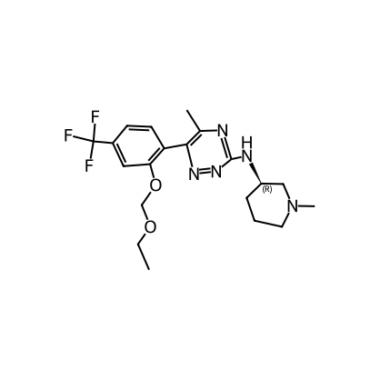 CCOCOc1cc(C(F)(F)F)ccc1-c1nnc(N[C@@H]2CCCN(C)C2)nc1C